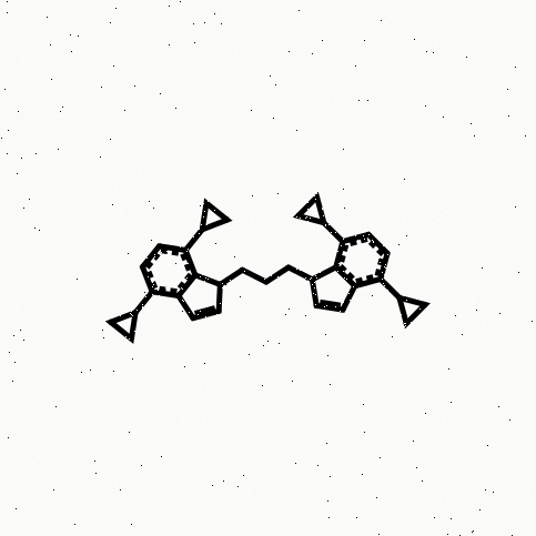 C1=Cc2c(C3CC3)ccc(C3CC3)c2[C]1CCC[C]1C=Cc2c(C3CC3)ccc(C3CC3)c21